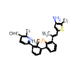 CCc1nc(-c2cccc(-c3cccc(/C(C)=C/c4cc(N)c(CC)s4)c3P)c2C)ccc1C=O